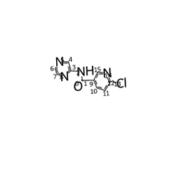 O=C(Nc1cnccn1)c1ccc(Cl)nc1